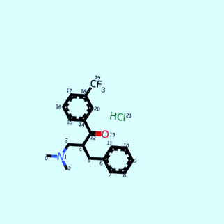 CN(C)CC(Cc1ccccc1)C(=O)c1cccc(C(F)(F)F)c1.Cl